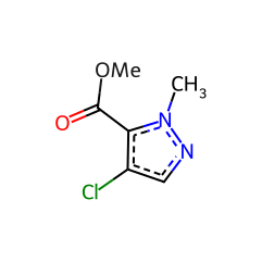 COC(=O)c1c(Cl)cnn1C